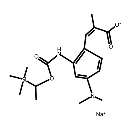 CC(=Cc1ccc(N(C)C)cc1NC(=O)OC(C)[Si](C)(C)C)C(=O)[O-].[Na+]